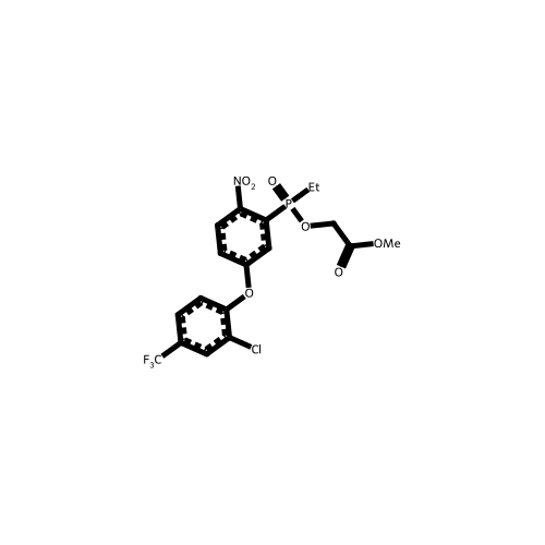 CCP(=O)(OCC(=O)OC)c1cc(Oc2ccc(C(F)(F)F)cc2Cl)ccc1[N+](=O)[O-]